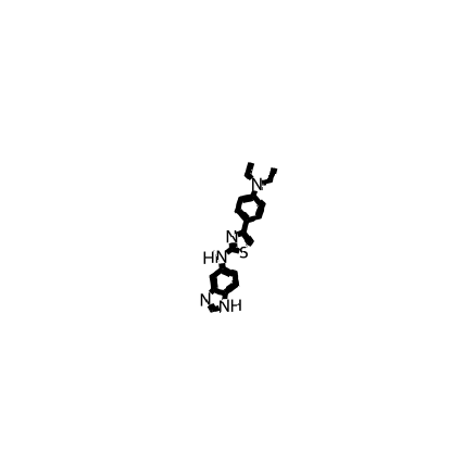 CCN(CC)c1ccc(-c2csc(Nc3ccc4[nH]cnc4c3)n2)cc1